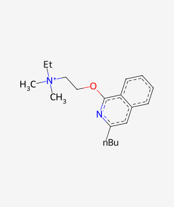 CCCCc1cc2ccccc2c(OCC[N+](C)(C)CC)n1